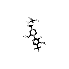 Cc1c(C(F)(F)F)cnc(N2CCN(C(=O)OC(C)(C)C)CC2CO)c1Br